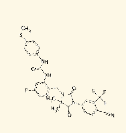 CSc1ccc(NC(=O)Nc2cc(F)ccc2CN2C(=O)N(c3ccc(C#N)c(C(F)(F)F)c3)C(=O)C2(C)C)cc1